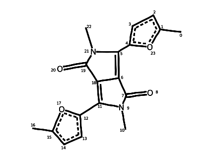 Cc1ccc(C2=C3C(=O)N(C)C(c4ccc(C)o4)=C3C(=O)N2C)o1